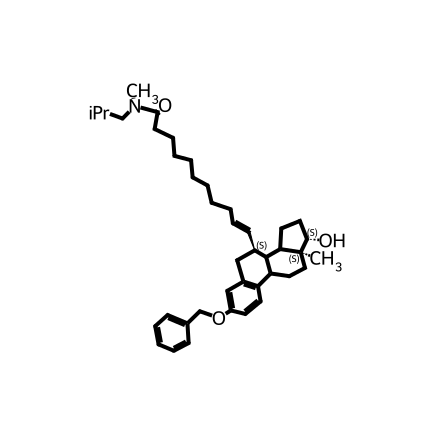 CC(C)CN(C)C(=O)CCCCCCCCC=C[C@@H]1Cc2cc(OCc3ccccc3)ccc2C2CC[C@@]3(C)C(CC[C@@H]3O)C21